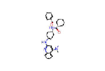 CN(C)c1cc(NC2CCC(NC(=O)[C@H]3CCCC[C@H]3C(=O)c3ccccc3)CC2)nc2ccccc12